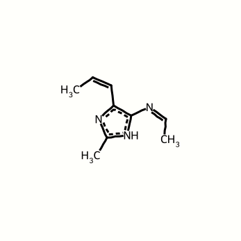 C/C=C\c1nc(C)[nH]c1/N=C\C